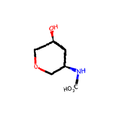 O=C(O)N[C@H]1COC[C@@H](O)C1